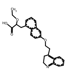 CCOC(Cc1cccc2cc(OCCC3=c4ccccc4=NCC3)ccc12)C(=O)O